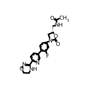 CC(=O)NC[C@H]1CN(c2ccc(-c3ccc(C4=NOCCN4)nc3)c(F)c2)C(=O)O1